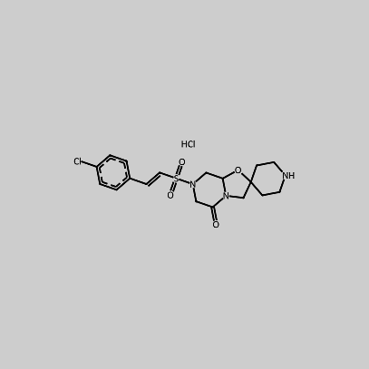 Cl.O=C1CN(S(=O)(=O)C=Cc2ccc(Cl)cc2)CC2OC3(CCNCC3)CN12